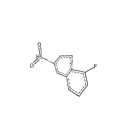 O=[SH](=O)c1ccc2c(F)cccc2c1